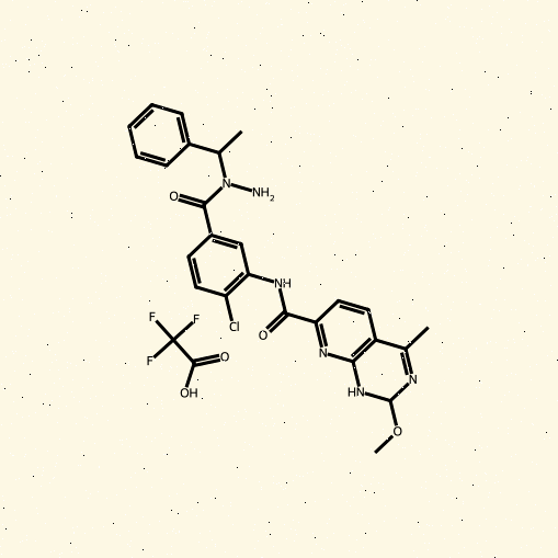 COC1N=C(C)c2ccc(C(=O)Nc3cc(C(=O)N(N)C(C)c4ccccc4)ccc3Cl)nc2N1.O=C(O)C(F)(F)F